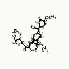 CCn1c2ccc(C(=O)c3ccc(OC)cc3)cc2c2cc(C(=O)c3ccc(OC)cc3)ccc21